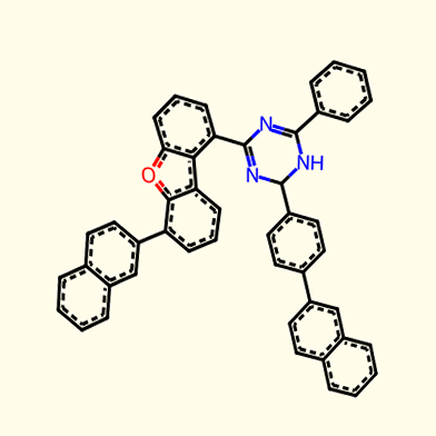 c1ccc(C2=NC(c3cccc4oc5c(-c6ccc7ccccc7c6)cccc5c34)=NC(c3ccc(-c4ccc5ccccc5c4)cc3)N2)cc1